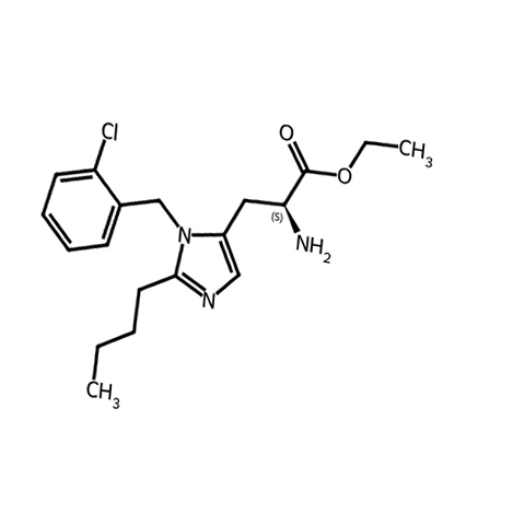 CCCCc1ncc(C[C@H](N)C(=O)OCC)n1Cc1ccccc1Cl